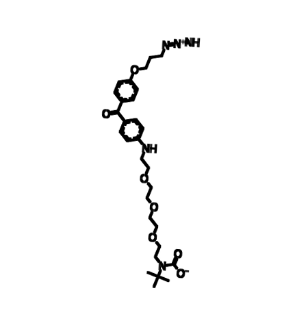 CC(C)(C)N(CCOCCOCCOCCNc1ccc(C(=O)c2ccc(OCCCN=[N+]=N)cc2)cc1)C(=O)[O-]